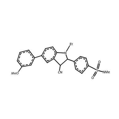 CCN1c2ccc(-c3cccc(OC)c3)cc2C(C#N)C1c1ccc(S(=O)(=O)NC)cc1